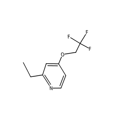 CCc1cc(OCC(F)(F)F)ccn1